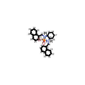 O=P1(Br)N(Cc2cccc3ccccc23)[C@@H]2CCCC[C@H]2N1Cc1cccc2ccccc12